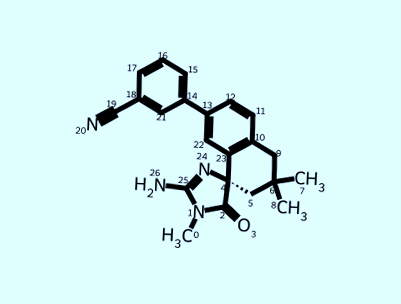 CN1C(=O)[C@@]2(CC(C)(C)Cc3ccc(-c4cccc(C#N)c4)cc32)N=C1N